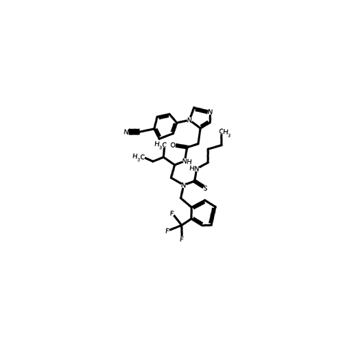 CCCCNC(=S)N(Cc1ccccc1C(F)(F)F)CC(NC(=O)Cc1cncn1-c1ccc(C#N)cc1)C(C)CC